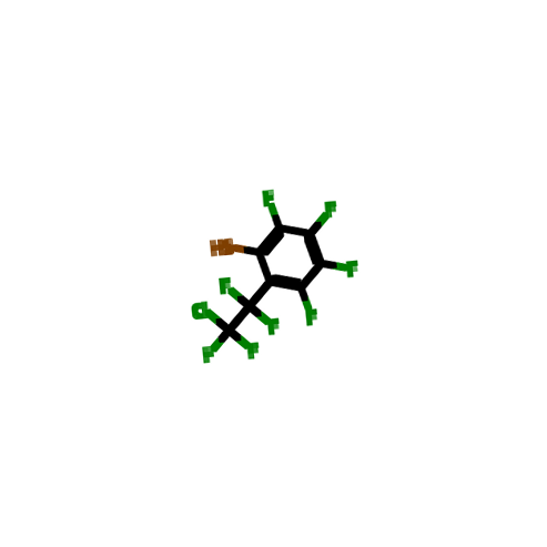 Fc1c(F)c(F)c(C(F)(F)C(F)(F)Cl)c(S)c1F